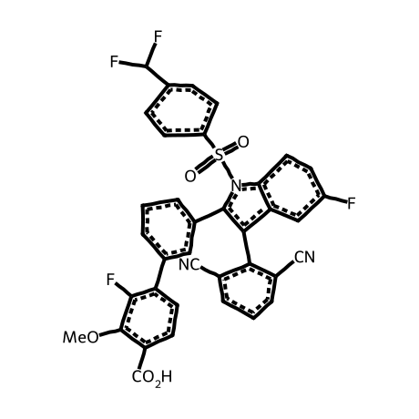 COc1c(C(=O)O)ccc(-c2cccc(-c3c(-c4c(C#N)cccc4C#N)c4cc(F)ccc4n3S(=O)(=O)c3ccc(C(F)F)cc3)c2)c1F